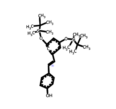 CC(C)(C)[Si](C)(C)Oc1cc(/C=C/c2ccc(O)cc2)cc(O[Si](C)(C)C(C)(C)C)c1